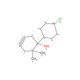 CC1(C)CC#CCC1(O)C1CCC(Cl)CC1